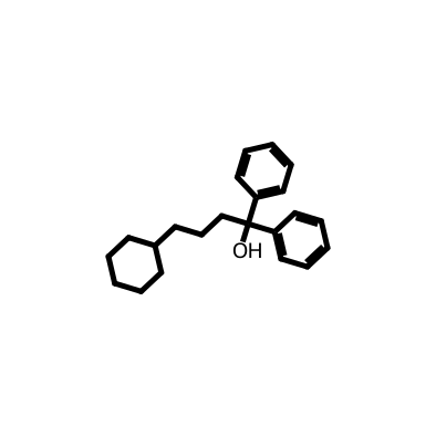 OC(CCCC1CCCCC1)(c1ccccc1)c1ccccc1